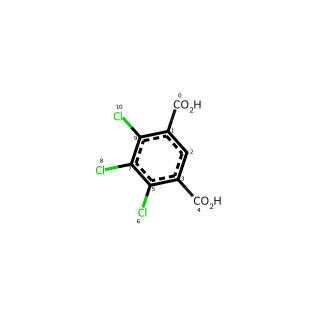 O=C(O)c1cc(C(=O)O)c(Cl)c(Cl)c1Cl